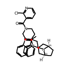 Cc1nc2ccccc2n1C1C[C@H]2CC[C@@H](C1)N2CCC1(c2ccccc2)CCN(C(=O)c2cccnc2Cl)CC1